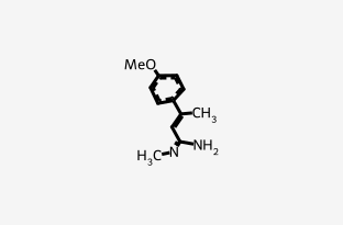 C/N=C(N)\C=C(/C)c1ccc(OC)cc1